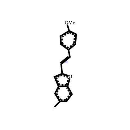 COc1ccc(/C=C/c2cc3cc(I)ccc3o2)cc1